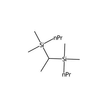 CCC[Si](C)(C)C(C)[Si](C)(C)CCC